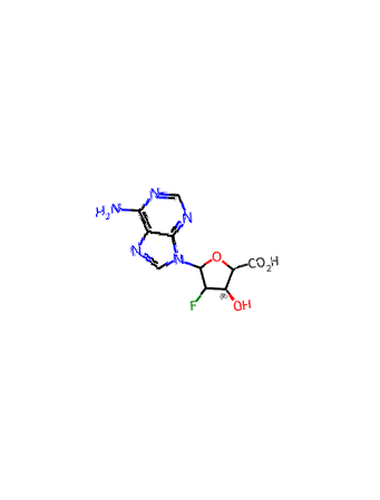 Nc1ncnc2c1ncn2C1OC(C(=O)O)[C@@H](O)C1F